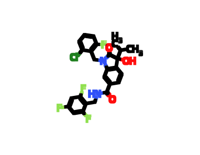 CC(C)C1(O)C(=O)N(Cc2c(F)cccc2Cl)c2cc(C(=O)NCc3c(F)cc(F)cc3F)ccc21